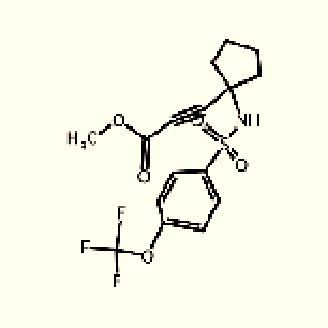 COC(=O)C#CC1(NS(=O)(=O)c2ccc(OC(F)(F)F)cc2)CCCC1